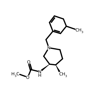 COC(=O)N[C@H]1CN(CC2=CC(C)CC=C2)CC[C@H]1C